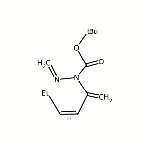 C=NN(C(=C)/C=C\CC)C(=O)OC(C)(C)C